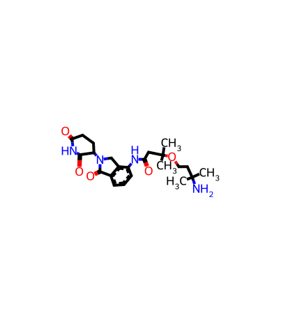 CC(C)(N)CCOC(C)(C)CC(=O)Nc1cccc2c1CN(C1CCC(=O)NC1=O)C2=O